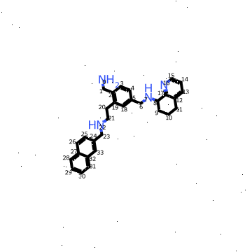 NCc1ccc(CNC2CCCc3cccnc32)cc1CCNCc1ccc2ccccc2c1